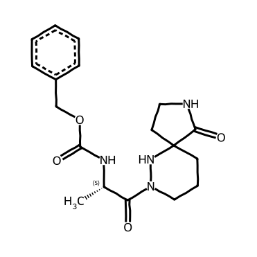 C[C@H](NC(=O)OCc1ccccc1)C(=O)N1CCCC2(CCNC2=O)N1